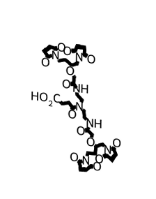 O=C(O)CCC(=O)N(CCNC(=O)COC(CCN1C(=O)C=CC1=O)CN1C(=O)C=CC1=O)CCNC(=O)COC(CCN1C(=O)C=CC1=O)CN1C(=O)C=CC1=O